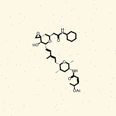 CC(=O)O[C@@H](C)/C=C\C(=O)N[C@@H]1C[C@H](C)[C@H](C/C=C(C)/C=C/[C@H]2O[C@H](CC(=O)NC3CCCCC3)C[C@@]3(CO3)[C@@H]2O)O[C@@H]1C